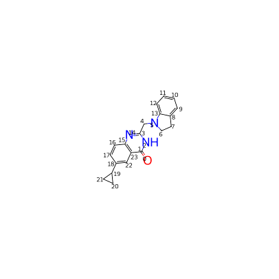 O=c1[nH]c(CN2CCc3ccccc32)nc2ccc(C3CC3)cc12